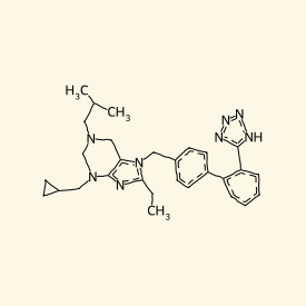 CCc1nc2c(n1Cc1ccc(-c3ccccc3-c3nnn[nH]3)cc1)CN(CC(C)C)CN2CC1CC1